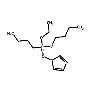 CCCCO[PH](CCCC)(OCC)On1ccnc1